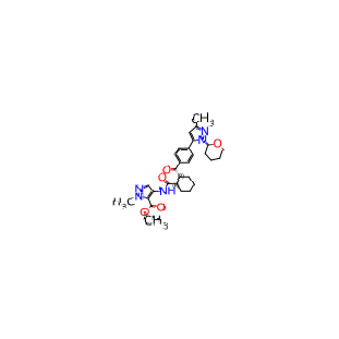 COC(=O)c1c(NC(=O)[C@@H]2CCCC[C@H]2C(=O)c2ccc(-c3cc(C)nn3C3CCCCO3)cc2)cnn1C